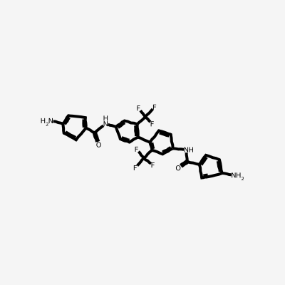 Nc1ccc(C(=O)Nc2ccc(-c3ccc(NC(=O)c4ccc(N)cc4)cc3C(F)(F)F)c(C(F)(F)F)c2)cc1